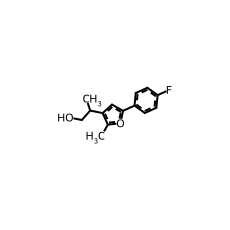 Cc1oc(-c2ccc(F)cc2)cc1C(C)CO